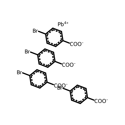 O=C([O-])c1ccc(Br)cc1.O=C([O-])c1ccc(Br)cc1.O=C([O-])c1ccc(Br)cc1.O=C([O-])c1ccc(Br)cc1.[Pb+4]